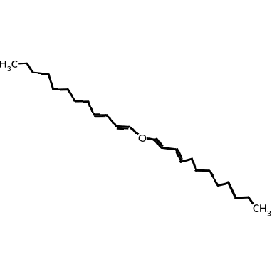 CCCCCCCC/C=C/C=C/O/C=C/C=C/CCCCCCCC